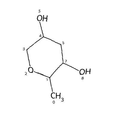 CC1OCC(O)CC1O